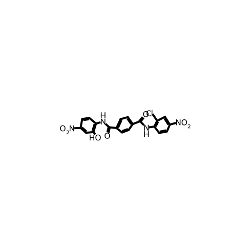 O=C(Nc1ccc([N+](=O)[O-])cc1O)c1ccc(C(=O)Nc2ccc([N+](=O)[O-])cc2Cl)cc1